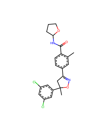 Cc1cc(C2=NOC(C)(c3cc(Cl)cc(Cl)c3)C2)ccc1C(=O)NC1CCCO1